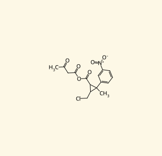 CC(=O)CC(=O)OC(=O)C1C(CCl)C1(C)c1cccc([N+](=O)[O-])c1